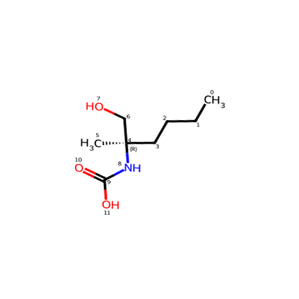 CCCC[C@](C)(CO)NC(=O)O